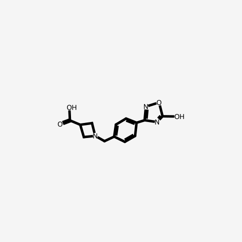 O=C(O)C1CN(Cc2ccc(-c3noc(O)n3)cc2)C1